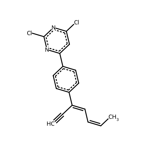 C#C/C(=C\C=C/C)c1ccc(-c2cc(Cl)nc(Cl)n2)cc1